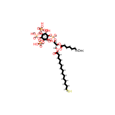 CCCCCCCCCCCCCCCC(=O)O[C@H](COC(=O)CCCCCCCCCCCCCCS)COP(=O)(O)OC1C(O)[C@@H](OP(=O)(O)O)C(OP(=O)(O)O)[C@@H](OP(=O)(O)O)[C@H]1O